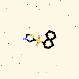 O=S(=O)(c1cccc2ccccc12)C1CNCS1